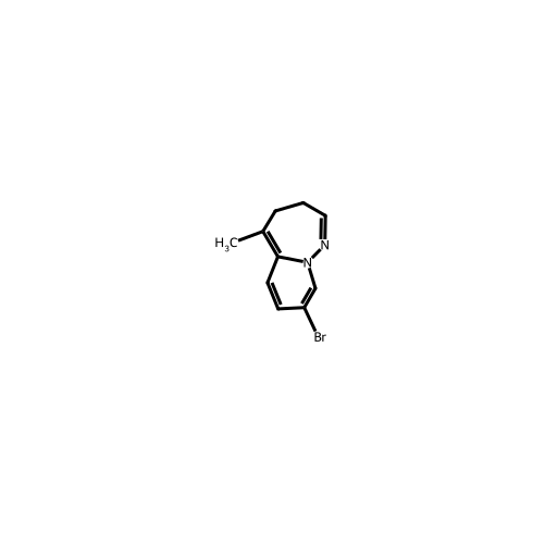 CC1=C2C=CC(Br)=CN2N=CCC1